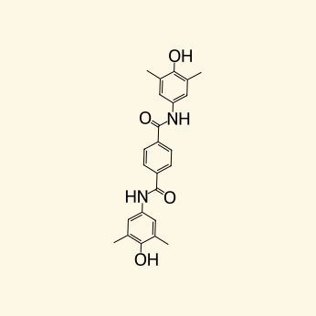 Cc1cc(NC(=O)c2ccc(C(=O)Nc3cc(C)c(O)c(C)c3)cc2)cc(C)c1O